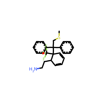 CSCC(c1ccccc1)(c1ccccc1)C1(C(F)(F)F)C=CC=CC1CCN